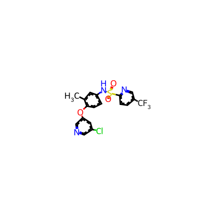 Cc1cc(NS(=O)(=O)c2ccc(C(F)(F)F)cn2)ccc1Oc1cncc(Cl)c1